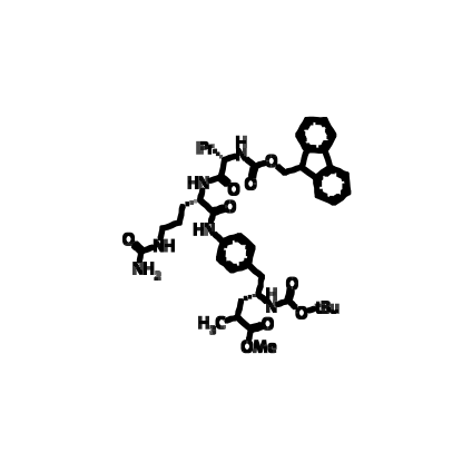 COC(=O)C(C)C[C@H](Cc1ccc(NC(=O)[C@H](CCCNC(N)=O)NC(=O)[C@@H](NC(=O)OCC2c3ccccc3-c3ccccc32)C(C)C)cc1)NC(=O)OC(C)(C)C